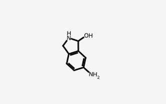 Nc1ccc2c(c1)C(O)NC2